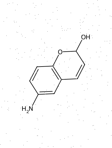 Nc1ccc2c(c1)C=CC(O)O2